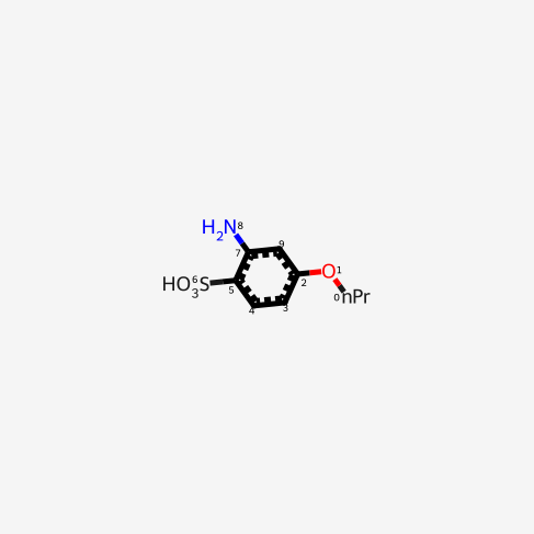 CCCOc1ccc(S(=O)(=O)O)c(N)c1